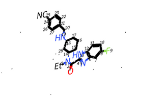 CCN(C(=O)c1nc2cc(F)ccc2[nH]1)[C@H]1CCC[C@@H](NCc2ccc(C#N)cc2)C1